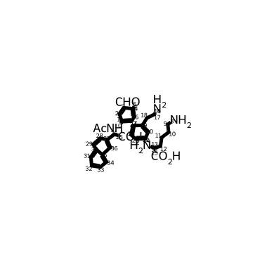 CC(=O)Nc1ccc(C=O)cc1.NCCCC[C@H](N)C(=O)O.NCCc1ccccc1.O=C(O)Cc1ccc2ccccc2c1